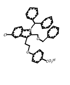 O=C(O)c1ccc(OCCc2c(COCc3ccccc3)n(C(c3ccccc3)c3ccccc3)c3ccc(Cl)cc23)cc1